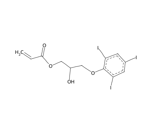 C=CC(=O)OCC(O)COc1c(I)cc(I)cc1I